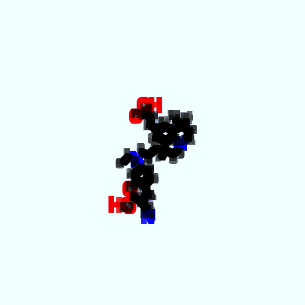 CCN(CCCC1(C)CCN2CCC(C)(C)c3cc(/C=C/C(=O)O)cc1c32)c1ccc(/C=C(/C#N)C(=O)O)cc1